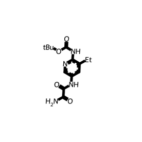 CCc1cc(NC(=O)C(N)=O)cnc1NC(=O)OC(C)(C)C